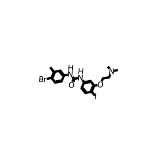 Cc1cc(NC(=O)Nc2ccc(I)c(OCCN(C)C)c2)ccc1Br